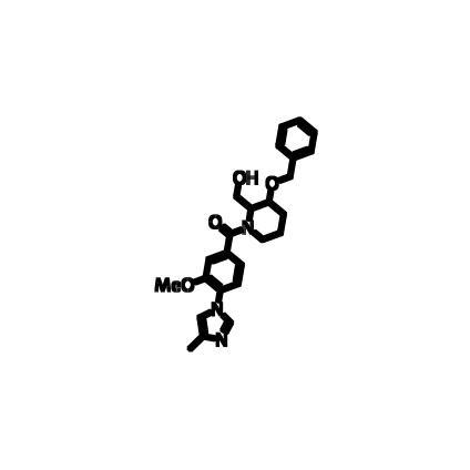 COc1cc(C(=O)N2CCCC(OCc3ccccc3)C2CO)ccc1-n1cnc(C)c1